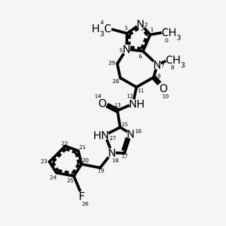 Cc1nc(C)n2c1N(C)C(=O)C(NC(=O)C1N=CN(Cc3ccccc3F)N1)CC2